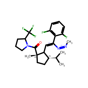 C/N=N\C(=C/C1[C@H](C(C)C)CC[C@]1(C)C(=O)N1CCCC1C(F)(F)F)c1c(F)cccc1F